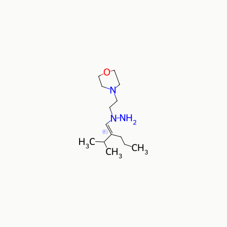 CCC/C(=C\N(N)CCN1CCOCC1)C(C)C